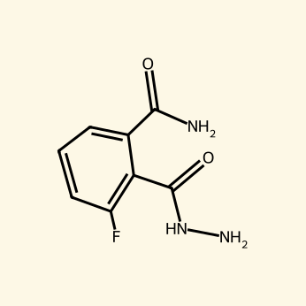 NNC(=O)c1c(F)cccc1C(N)=O